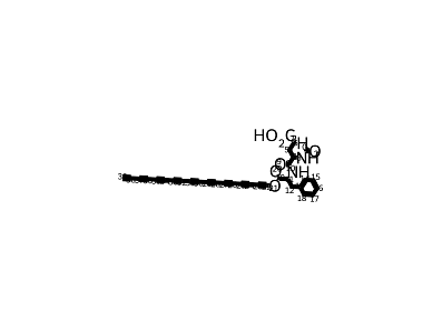 [3H]C(=O)NC(CCC(=O)O)C(=O)NC(Cc1ccccc1)C(=O)OC#CC#CC#CC#CC#CC#CC#CC#CC#C